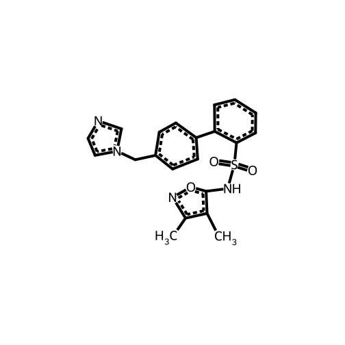 Cc1noc(NS(=O)(=O)c2ccccc2-c2ccc(Cn3ccnc3)cc2)c1C